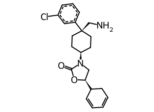 NC[C@]1(c2cccc(Cl)c2)CC[C@H](N2C[C@@H](C3C=CC=CC3)OC2=O)CC1